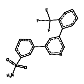 NS(=O)(=O)c1cccc(-c2cncc(-c3ccccc3C(F)(F)F)c2)c1